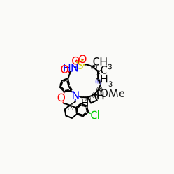 CO[C@H]1/C=C/[C@@H](C)[C@@H](C)CS(=O)(=O)NC(=O)c2ccc3c(c2)N(C[C@@H]2CC[C@H]21)C[C@@]1(CCCc2cc(Cl)ccc21)CO3